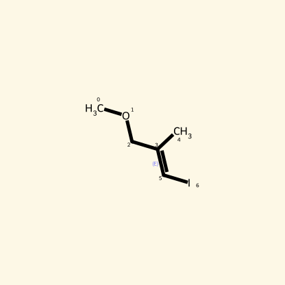 COC/C(C)=C/I